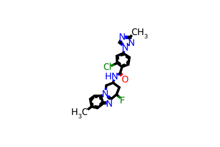 Cc1ccc2c(c1)nc1n2CC(NC(=O)c2ccc(-n3cnc(C)n3)cc2Cl)CC1F